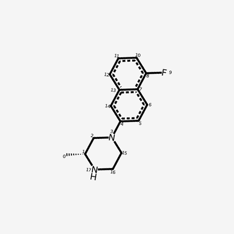 C[C@@H]1CN(c2ccc3c(F)cccc3c2)CCN1